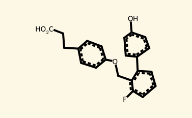 O=C(O)CCc1ccc(OCc2c(F)cccc2-c2ccc(O)cc2)cc1